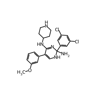 COc1cccc(C2=CNC(N)(c3cc(Cl)cc(Cl)c3)N=C2NC2CCNCC2)c1